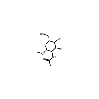 CO[C@H]1O[C@H](CO)[C@@H](O)[C@@H](F)[C@H]1NC(C)=O